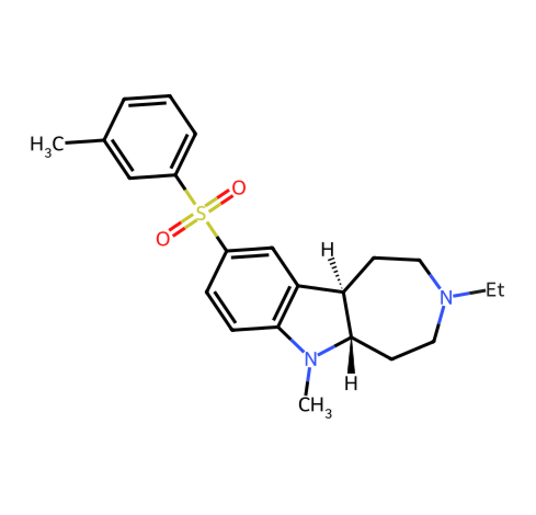 CCN1CC[C@@H]2c3cc(S(=O)(=O)c4cccc(C)c4)ccc3N(C)[C@H]2CC1